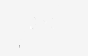 O=C(CN1CCC(c2ccccc2)(c2ccccc2)C1=O)N1C=C2CC=C(F)C=C2C1